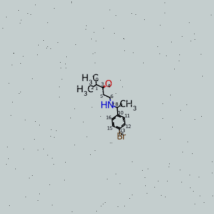 CC(C)C(=O)CCNC(C)c1ccc(Br)cc1